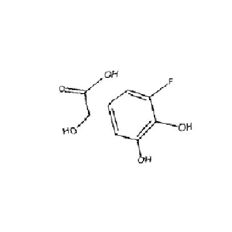 O=C(O)CO.Oc1cccc(F)c1O